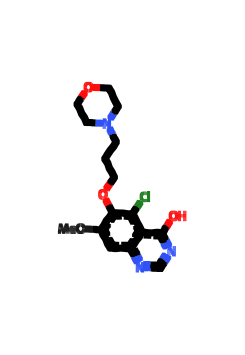 COc1cc2ncnc(O)c2c(Cl)c1OCCCN1CCOCC1